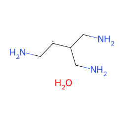 NC[CH]C(CN)CN.O